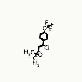 CC1(C)OC1C=C(Cl)c1ccc(OC(F)(F)F)cc1